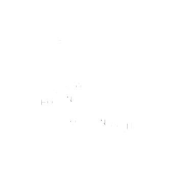 O=C(O)N1CCC2(CC1)CN(S(=O)(=O)c1ccc(F)cc1)C(O)CO2